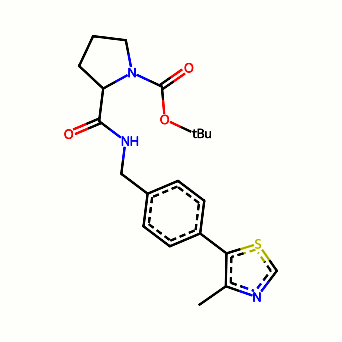 Cc1ncsc1-c1ccc(CNC(=O)C2CCCN2C(=O)OC(C)(C)C)cc1